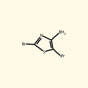 Bc1nc(Br)sc1C(C)C